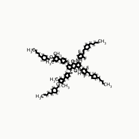 CCCCCC1CCC(CCc2c(F)cc(Nc3ccc(Nc4cc(F)c(CCC5CCC(CCCCC)CC5)c(F)c4)c4c3C(=O)c3c(Sc5ccc(-c6cc(C)c(OCC7CCC(CCCCC)CC7)c(C)c6)cc5)ccc(Sc5ccc(-c6cc(C)c(OCC7CCC(CCCCC)CC7)c(C)c6)cc5)c3C4=O)cc2F)CC1